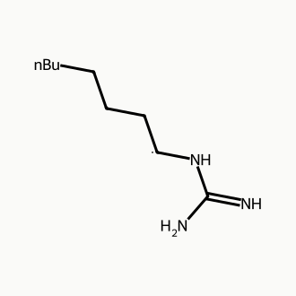 CCCCCCC[CH]NC(=N)N